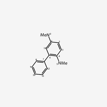 CNc1ccc(NC)c(-c2ccccc2)c1